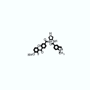 COc1ccc(O)c(C(=O)c2ccc(C(=O)N[C@@H]3CNC[C@H]3NC(=O)c3ccc4c(cnn4C)c3)cc2)c1F